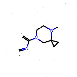 C=NC(=C)N1CCN(C)C2(CC2)C1